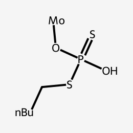 CCCCCSP(O)(=S)[O][Mo]